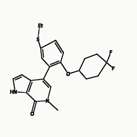 CCSc1ccc(OC2CCC(F)(F)CC2)c(-c2cn(C)c(=O)c3[nH]ccc23)c1